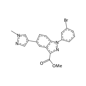 COC(=O)c1nn(-c2cccc(Br)c2)c2ccc(-c3cnn(C)c3)cc12